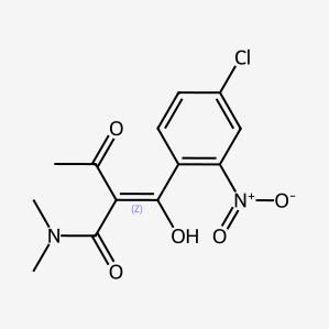 CC(=O)/C(C(=O)N(C)C)=C(/O)c1ccc(Cl)cc1[N+](=O)[O-]